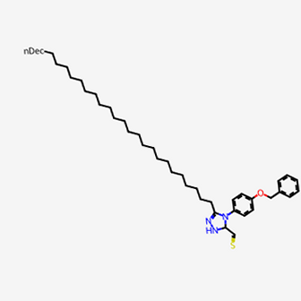 CCCCCCCCCCCCCCCCCCCCCCCCCCCCCCCCCC1=NNC(C=S)N1c1ccc(OCc2ccccc2)cc1